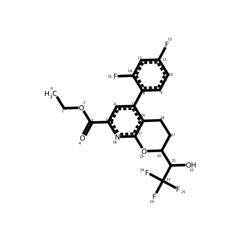 CCOC(=O)c1cc(-c2ccc(F)cc2F)c2c(n1)OC(C(O)C(F)(F)F)CC2